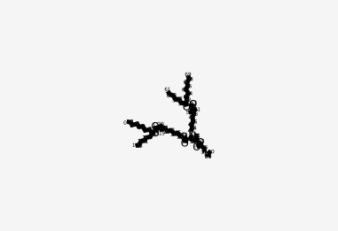 CCCCCCCCC(CCCCCC)OC(=O)C(C)(C)CCCCCCOC(=O)[C@@H]1C[C@H](OC(=O)CCN(C)C)CN1CCCCCCC(C)(C)C(=O)OC(CCCCCC)CCCCCCCC